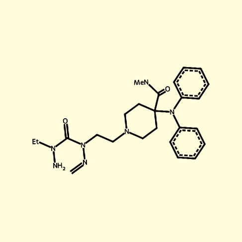 C=NN(CCN1CCC(C(=O)NC)(N(c2ccccc2)c2ccccc2)CC1)C(=O)N(N)CC